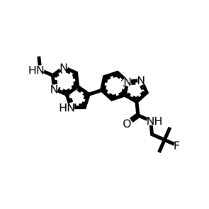 CNc1ncc2c(-c3ccn4ncc(C(=O)NCC(C)(C)F)c4c3)c[nH]c2n1